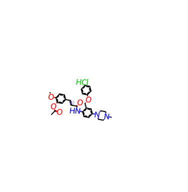 COc1ccc(/C=C/C(=O)Nc2ccc(N3CCN(C)CC3)cc2COc2ccccc2)cc1OC(C)=O.Cl